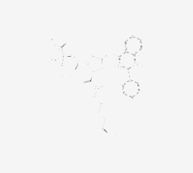 C=CCCCCN(C)C(=O)[C@@H]1C[C@H](Oc2nc(-c3ccccc3)nc3ccccc23)C[C@H]1C(=O)N[C@]1(C(=O)O)C[C@H]1I